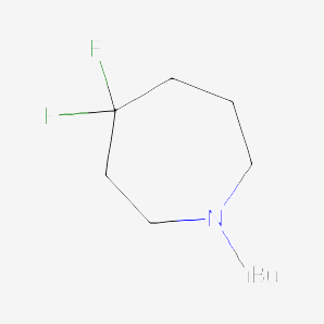 CCC(C)N1CCCC(F)(F)CC1